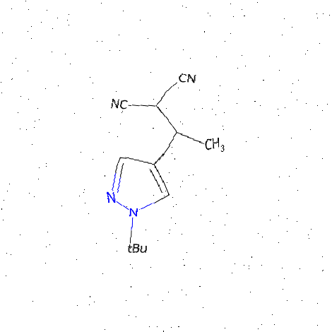 CC(c1cnn(C(C)(C)C)c1)C(C#N)C#N